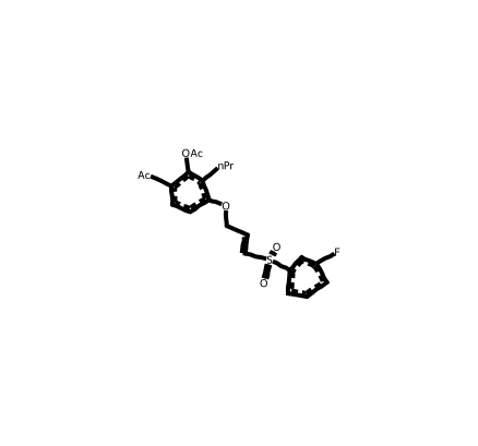 CCCc1c(OCC=CS(=O)(=O)c2cccc(F)c2)ccc(C(C)=O)c1OC(C)=O